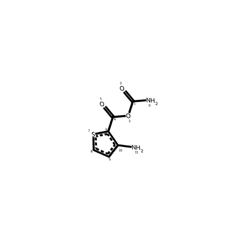 NC(=O)OC(=O)c1sccc1N